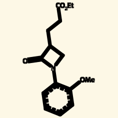 CCOC(=O)CCC1CN(c2ccccc2OC)C1=O